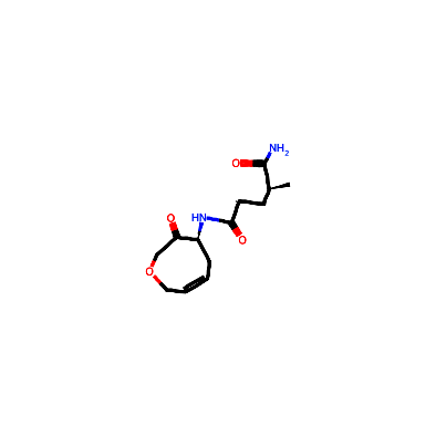 C[C@@H](C[CH]C(=O)N[C@H]1C/C=C\COCC1=O)C(N)=O